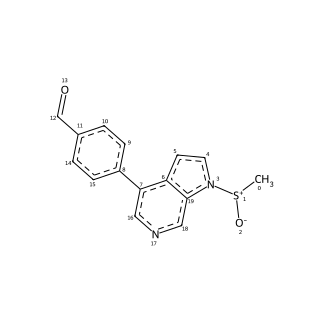 C[S+]([O-])n1ccc2c(-c3ccc(C=O)cc3)cncc21